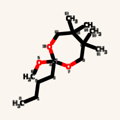 CCCC[Si]1(OC)OCC(C)(C)C(C)(C)CO1